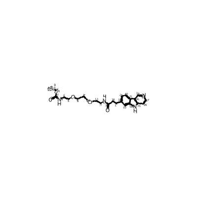 CC(C)(C)OC(=O)NCCOCCOCCNC(=O)CCc1ccc2c(c1)[nH]c1ccncc12